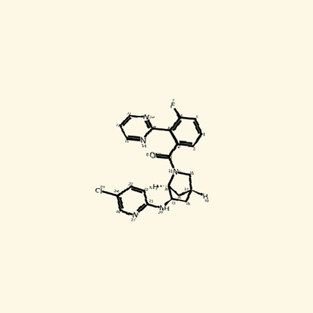 O=C(c1cccc(F)c1-c1ncccn1)N1C[C@@H]2C[C@@H](Nc3ccc(Cl)cn3)[C@@H]1C2